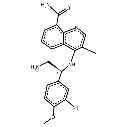 COc1ccc([C@@H](CN)Nc2c(C)cnc3c(C(N)=O)cccc23)cc1Cl